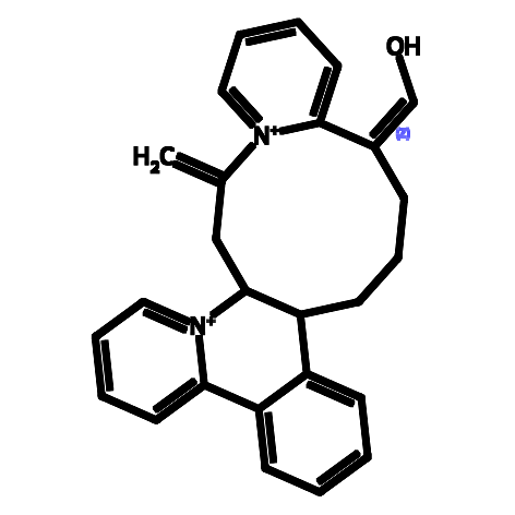 C=C1CC2C(CCC/C(=C/O)c3cccc[n+]31)c1ccccc1-c1cccc[n+]12